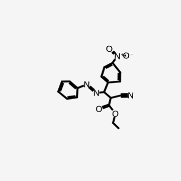 CCOC(=O)C(C#N)C(N=Nc1ccccc1)c1ccc([N+](=O)[O-])cc1